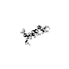 C=CCON=C(C(=O)NC1C(=O)N2C(C(=O)O)=C(CSc3nnnn3CC(=NOC)C(=O)O)CS[C@@H]12)c1csc(NC=O)n1